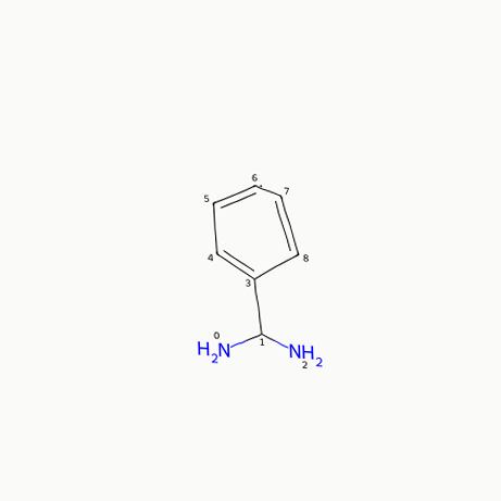 NC(N)c1cc[c]cc1